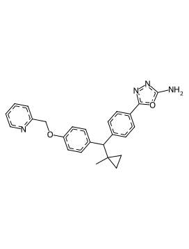 CC1(C(c2ccc(OCc3ccccn3)cc2)c2ccc(-c3nnc(N)o3)cc2)CC1